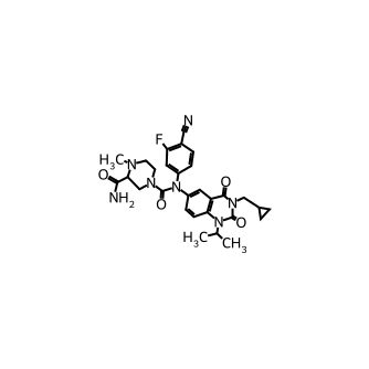 CC(C)n1c(=O)n(CC2CC2)c(=O)c2cc(N(C(=O)N3CCN(C)C(C(N)=O)C3)c3ccc(C#N)c(F)c3)ccc21